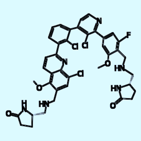 COc1cc(-c2nccc(-c3cccc(-c4ccc5c(OC)c(CNC[C@@H]6CCC(=O)N6)cc(Cl)c5n4)c3Cl)c2Cl)cc(F)c1CNC[C@@H]1CCC(=O)N1